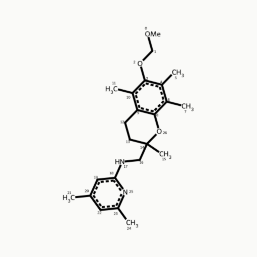 COCOc1c(C)c(C)c2c(c1C)CCC(C)(CNc1cc(C)cc(C)n1)O2